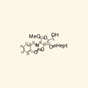 CCCCCCCOC1C(CO)OC(OC)C2C1OC(=O)N2Cc1ccccc1